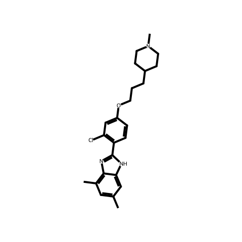 Cc1cc(C)c2nc(-c3ccc(OCCCC4CCN(C)CC4)cc3Cl)[nH]c2c1